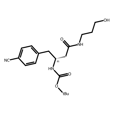 CC(C)(C)OC(=O)N[C@@H](CC(=O)NCCCO)Cc1ccc(C#N)cc1